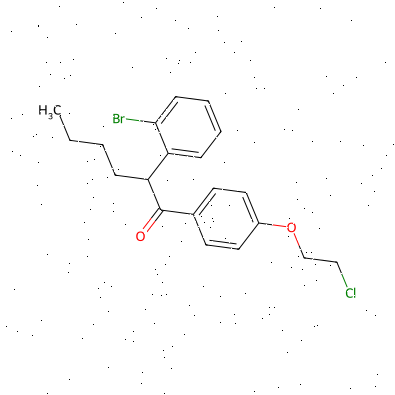 CCCCC(C(=O)c1ccc(OCCCl)cc1)c1ccccc1Br